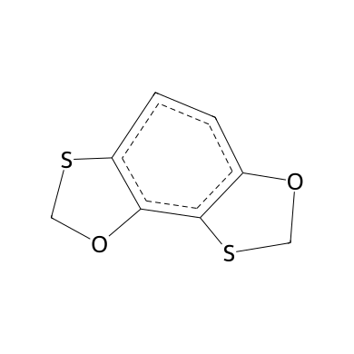 c1cc2c(c3c1OCS3)OCS2